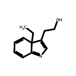 CCC12C=CC=CC1=NC=C2CCO